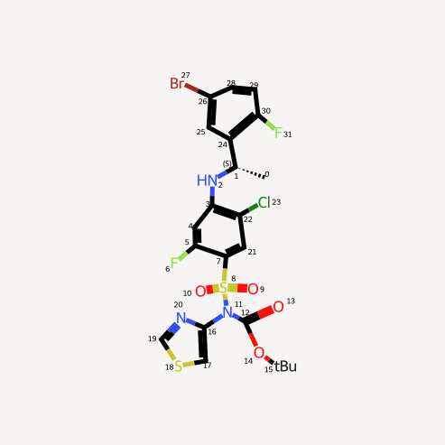 C[C@H](Nc1cc(F)c(S(=O)(=O)N(C(=O)OC(C)(C)C)c2cscn2)cc1Cl)c1cc(Br)ccc1F